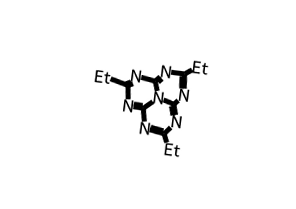 CCC1=NC2=NC(CC)=NC3=NC(CC)=NC(=N1)N23